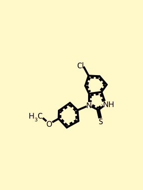 COc1ccc(-n2c(=S)[nH]c3ccc(Cl)cc32)cc1